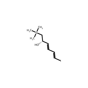 C[Si](C)(C)C[C@@H](O)/C=C/C=C/I